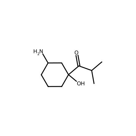 CC(C)C(=O)C1(O)CCCC(N)C1